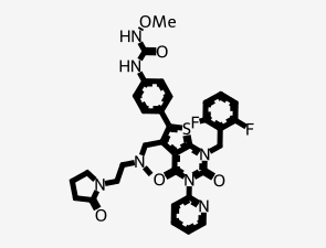 CONC(=O)Nc1ccc(-c2sc3c(c2CN(C)CCN2CCCC2=O)c(=O)n(-c2ccccn2)c(=O)n3Cc2c(F)cccc2F)cc1